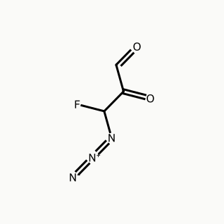 [N-]=[N+]=NC(F)C(=O)C=O